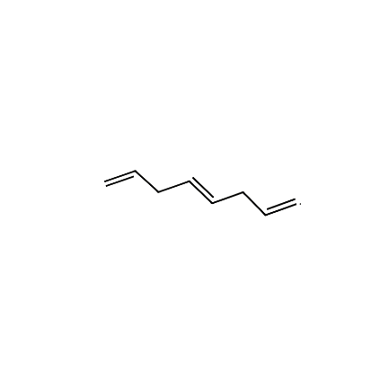 [CH]=CCC=CCC=C